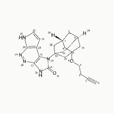 C#CCCOC12C[C@H]3C[C@@H](C1)CC(n1c(=O)[nH]c4nnc5[nH]ccc5c41)(C3)C2